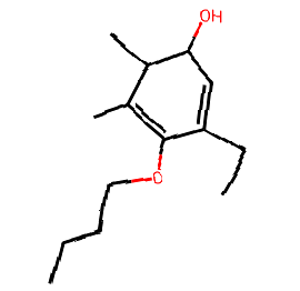 CCCCOC1=C(C)C(C)C(O)C=C1CC